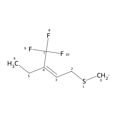 [CH2]SC/C=C(/CC)C(F)(F)F